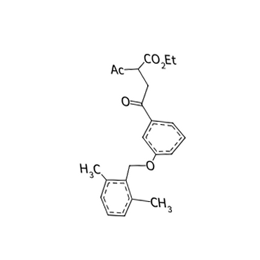 CCOC(=O)C(CC(=O)c1cccc(OCc2c(C)cccc2C)c1)C(C)=O